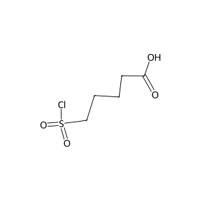 O=C(O)CCCCS(=O)(=O)Cl